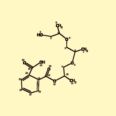 CC(CO)OCC(C)OCC(C)OC(=O)c1ccccc1C(=O)O